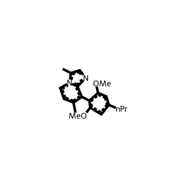 CCCc1cc(OC)c(-c2c(C)ccn3c(C)cnc23)c(OC)c1